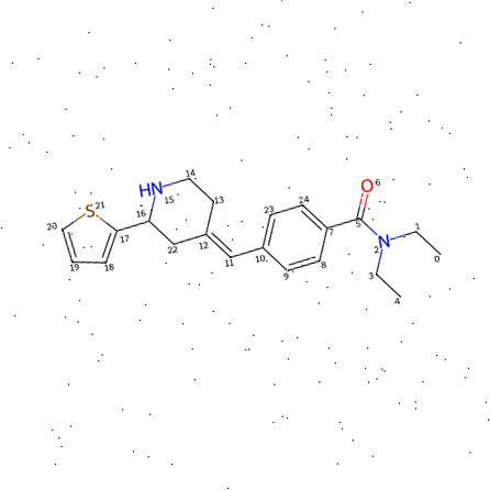 CCN(CC)C(=O)c1ccc(C=C2CCNC(c3cccs3)C2)cc1